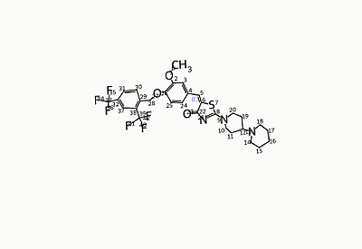 COc1cc(/C=C2/SC(N3CCC(N4CCCCC4)CC3)=NC2=O)ccc1OCc1ccc(C(F)(F)F)cc1C(F)(F)F